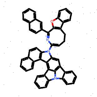 C1=C(n2c3ccc4ccccc4c3c3c4c5ccccc5n5c6ccccc6c(cc32)c45)\N=C(\c2ccc3ccccc3c2)c2oc3ccccc3c2CC/1